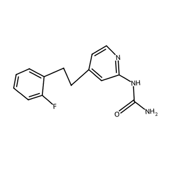 NC(=O)Nc1cc(CCc2ccccc2F)ccn1